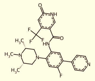 C[C@@H]1CN(c2cc(F)c(-c3ccncc3)cc2NC(=O)c2c[nH]c(=O)cc2C(F)(F)F)C[C@H](C)N1C